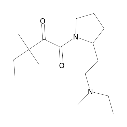 CCN(C)CCC1CCCN1C(=O)C(=O)C(C)(C)CC